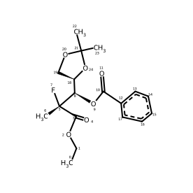 CCOC(=O)[C@](C)(F)[C@H](OC(=O)c1ccccc1)[C@H]1COC(C)(C)O1